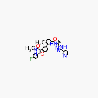 CNC(=O)c1c(-c2ccc(F)cc2)oc2ccc(-c3cc(C(=O)NC4(c5nnc(-c6cccnc6)[nH]5)CC4)ccc3C)cc12